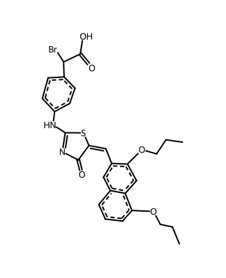 CCCOc1cc2c(OCCC)cccc2cc1/C=C1/SC(Nc2ccc(C(Br)C(=O)O)cc2)=NC1=O